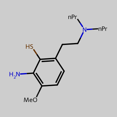 CCCN(CCC)CCc1ccc(OC)c(N)c1S